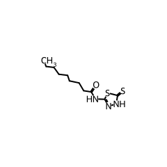 CCCCCCCCC(=O)Nc1n[nH]c(=S)s1